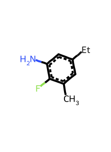 CCc1cc(C)c(F)c(N)c1